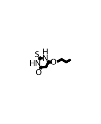 CCCC.O=C1CC(=O)NC(=S)N1